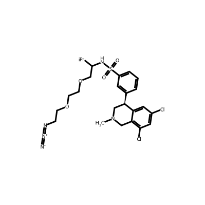 CC(C)C(COCCOCCN=[N+]=[N-])NS(=O)(=O)c1cccc([C@@H]2CN(C)Cc3c(Cl)cc(Cl)cc32)c1